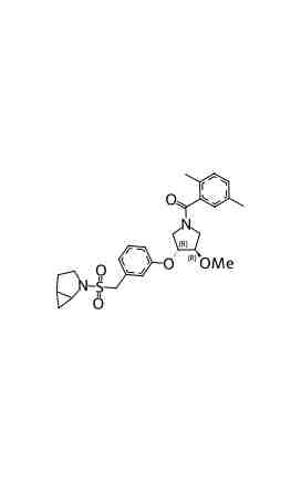 CO[C@@H]1CN(C(=O)c2cc(C)ccc2C)C[C@H]1Oc1cccc(CS(=O)(=O)N2CCC3CC32)c1